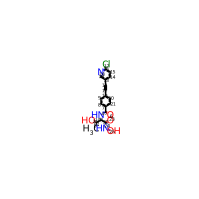 C[C@@H](O)[C@H](NC(=O)c1ccc(C#Cc2ccc(Cl)nc2)cc1)C(=O)NO